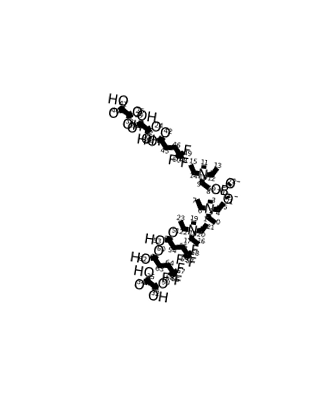 CC[N+](C)(CC)CC.CC[N+](C)(CC)CC.CC[N+](C)(CC)CC.O=C(O)C(=O)O.O=C(O)C(=O)O.O=C(O)C(=O)O.O=C(O)CCC(F)(F)F.O=C(O)CCC(F)(F)F.O=C(O)CCC(F)(F)F.[O-]B([O-])[O-]